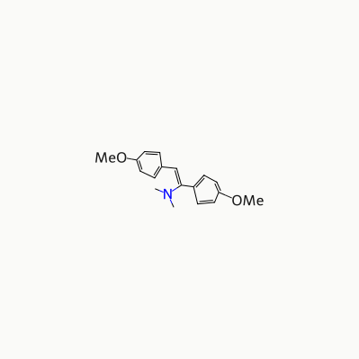 COc1ccc(C=C(c2ccc(OC)cc2)N(C)C)cc1